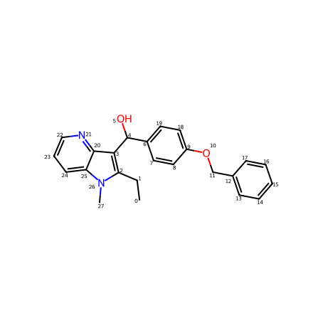 CCc1c(C(O)c2ccc(OCc3ccccc3)cc2)c2ncccc2n1C